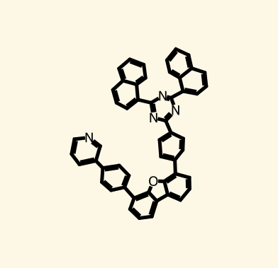 c1cncc(-c2ccc(-c3cccc4c3oc3c(-c5ccc(-c6nc(-c7cccc8ccccc78)nc(-c7cccc8ccccc78)n6)cc5)cccc34)cc2)c1